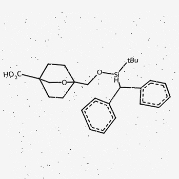 CC(C)(C)[SiH](OCC12CCC(C(=O)O)(CC1)CO2)C(c1ccccc1)c1ccccc1